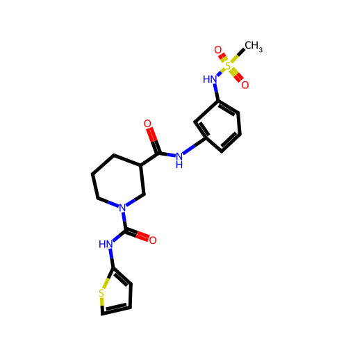 CS(=O)(=O)Nc1cccc(NC(=O)C2CCCN(C(=O)Nc3cccs3)C2)c1